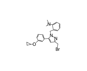 CN(C)c1ccccc1Cn1nc(CBr)cc1-c1cccc(OC2CC2)c1